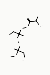 CCCCC(CC)C(=O)OOC(C)(CC(C)C)OOC(C)(CC(C)C)OO